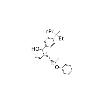 C=C/C(=C\C=C(/C)Oc1ccccc1)C(O)c1ccc(C(C)(CC)CCC)cc1